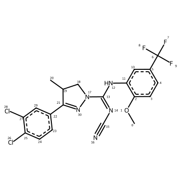 COc1ccc(C(F)(F)F)cc1N/C(=N/C#N)N1CC(C)C(c2ccc(Cl)c(Cl)c2)=N1